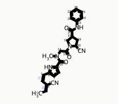 C/C=C(C#N)\C=C/c1ccc(C(=O)N(C)CC(=O)N2CC(C(=O)Nc3ccccc3)CC2C#N)[nH]1